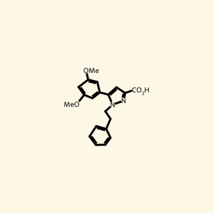 COc1cc(OC)cc(-c2cc(C(=O)O)nn2CCc2ccccc2)c1